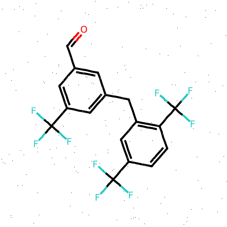 O=Cc1cc(Cc2cc(C(F)(F)F)ccc2C(F)(F)F)cc(C(F)(F)F)c1